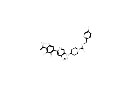 C=C(NC)c1ccc(-c2cc3nnn(C4CCN(C(=O)OCc5ccc(F)cn5)CC4)c3cn2)c(F)c1F